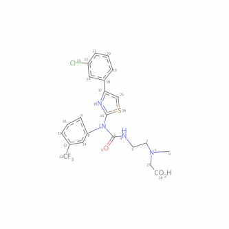 CN(CCNC(=O)N(c1cccc(C(F)(F)F)c1)c1nc(-c2cccc(Cl)c2)cs1)CC(=O)O